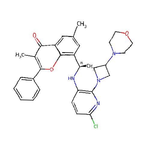 Cc1cc([C@@H](C)Nc2ccc(Cl)nc2N2CC(N3CCOCC3)C2)c2oc(-c3ccccc3)c(C)c(=O)c2c1